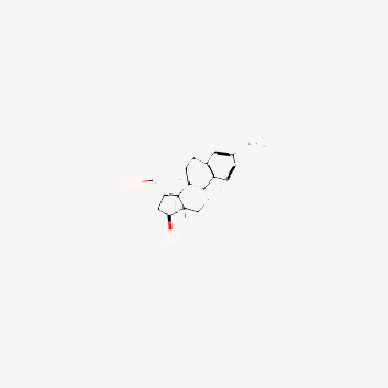 COc1ccc2c(c1)CC[C@H]1[C@@H]3[C@H](CO)CC(=O)[C@@]3(C)CC[C@H]21